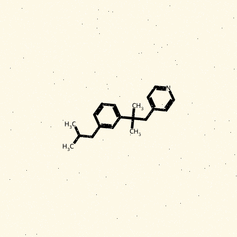 CC(C)Cc1cccc(C(C)(C)Cc2ccncc2)c1